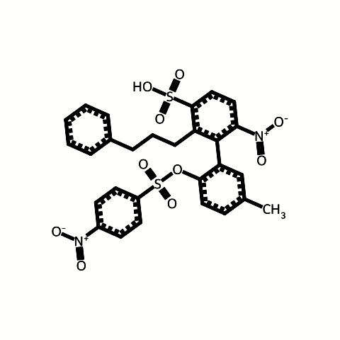 Cc1ccc(OS(=O)(=O)c2ccc([N+](=O)[O-])cc2)c(-c2c([N+](=O)[O-])ccc(S(=O)(=O)O)c2CCCc2ccccc2)c1